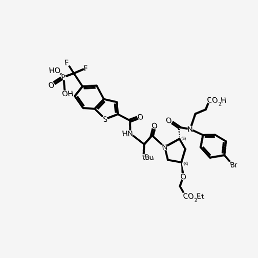 CCOC(=O)CO[C@@H]1C[C@@H](C(=O)N(CCC(=O)O)c2ccc(Br)cc2)N(C(=O)C(NC(=O)c2cc3cc(C(F)(F)P(=O)(O)O)ccc3s2)C(C)(C)C)C1